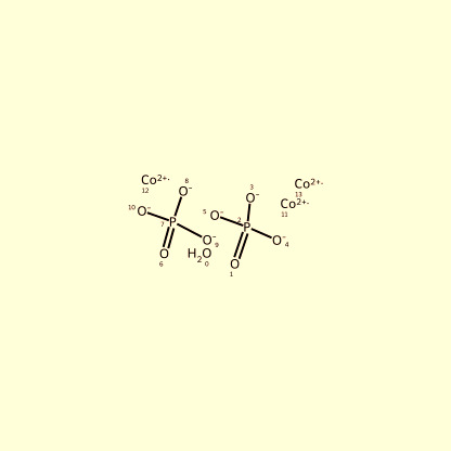 O.O=P([O-])([O-])[O-].O=P([O-])([O-])[O-].[Co+2].[Co+2].[Co+2]